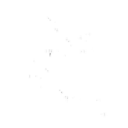 CC(C)(O/N=C(\C(=O)N[C@@H]1C(=O)N2C(C(=O)O)=C(C[N+]34CCC(CC3)N(C(=O)c3ccc(O)c(O)c3Cl)CC4)CS[C@H]12)c1csc(N)n1)C(=O)O